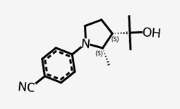 C[C@H]1[C@@H](C(C)(C)O)CCN1c1ccc(C#N)cc1